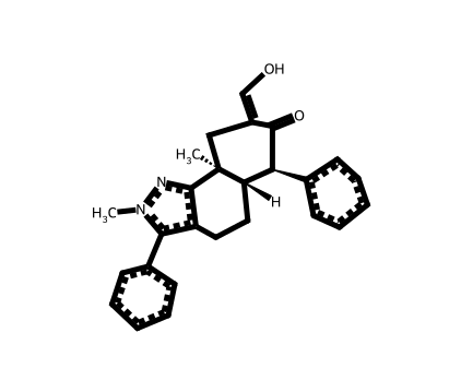 Cn1nc2c(c1-c1ccccc1)CC[C@H]1[C@H](c3ccccc3)C(=O)/C(=C\O)C[C@]21C